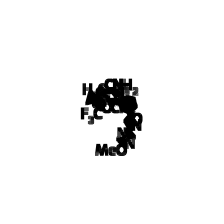 COc1cnc(-c2cc(-c3ccc(F)c([C@@]4(C)N=C(N)C(C)(C)[S@@](=O)(=NC5CC5)C4OC(=O)C(F)(F)F)c3)on2)cn1